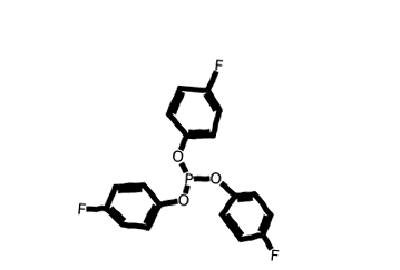 Fc1ccc(OP(Oc2ccc(F)cc2)Oc2ccc(F)cc2)cc1